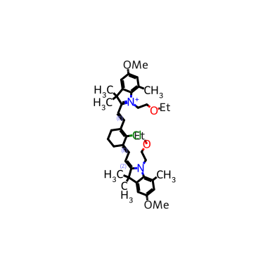 CCOCCN1/C(=C\C=C2/CCCC(/C=C/C3=[N+](CCOCC)c4c(C)cc(OC)cc4C3(C)C)=C2Cl)C(C)(C)c2cc(OC)cc(C)c21